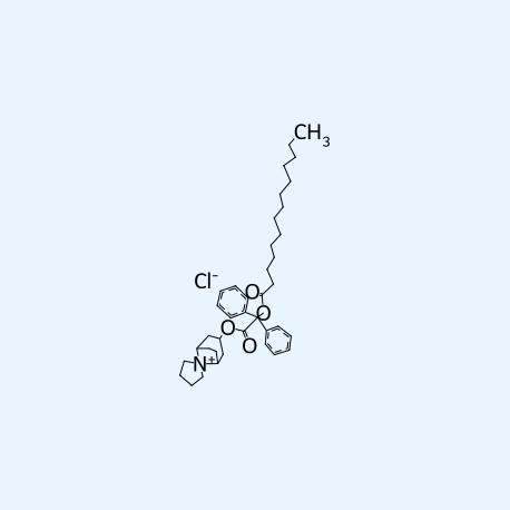 CCCCCCCCCCCCCC(=O)OC(C(=O)OC1CC2CCC(C1)[N+]21CCCC1)(c1ccccc1)c1ccccc1.[Cl-]